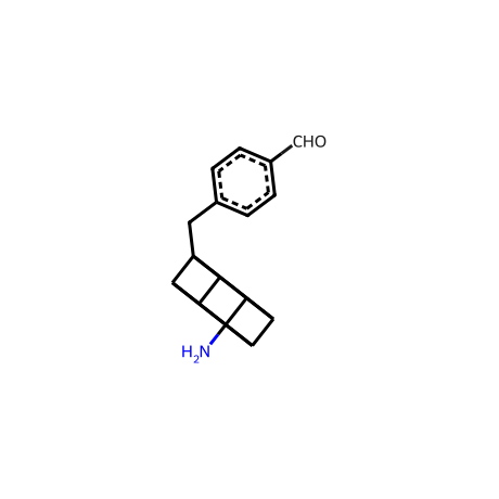 NC12C3C4C1C1C2C3C41Cc1ccc(C=O)cc1